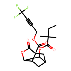 CCC(C)(C)C(=O)OC1C2CC3C1OC(=O)C3(C(=O)OCC#CC(F)(F)F)C2